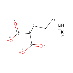 CCCC(C(=O)O)C(=O)O.[KH].[LiH]